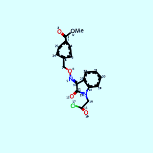 COC(=O)c1ccc(CO/N=C2/C(=O)N(CC(=O)Cl)c3ccccc32)cc1